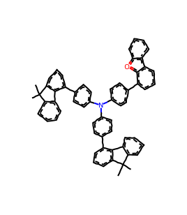 CC1(C)c2ccccc2-c2c(-c3ccc(N(c4ccc(-c5cccc6c5-c5ccccc5C6(C)C)cc4)c4ccc(-c5cccc6c5oc5ccccc56)cc4)cc3)cccc21